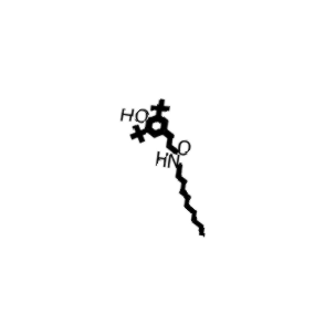 CCCCCCCCCCNC(=O)CCc1cc(C(C)(C)C)c(O)c(C(C)(C)C)c1